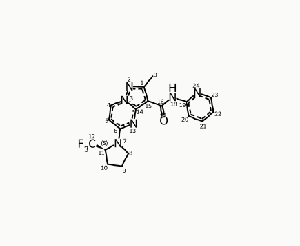 Cc1nn2ccc(N3CCC[C@H]3C(F)(F)F)nc2c1C(=O)Nc1ccccn1